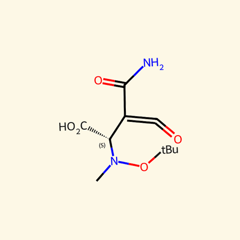 CN(OC(C)(C)C)[C@H](C(=O)O)C(=C=O)C(N)=O